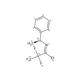 CCC(=N[C@@H](C)c1ccccc1)C(F)(F)C(F)(F)F